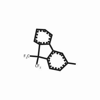 Cc1ccc2c(c1)-c1ccccc1C2(C(F)(F)F)C(F)(F)F